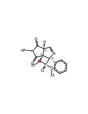 CCCN1C(=O)[C@@H]2[C@@H](C=N[C@@]2(c2ccccc2)P(=O)(OCC)OCC)C1=O